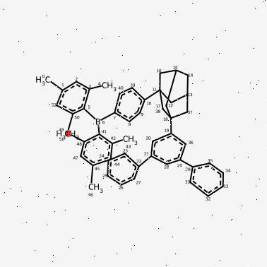 Cc1cc(C)c(B(c2ccc(C34CC5CC(C3)CC(c3cc(-c6ccccc6)cc(-c6ccccc6)c3)(C5)C4)cc2)c2c(C)cc(C)cc2C)c(C)c1